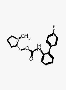 CN1CCC[C@H]1COC(=O)Nc1ccccc1-c1ccc(F)cc1